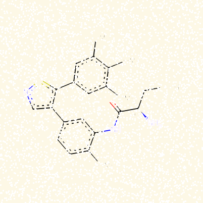 COc1ccc(-c2cnsc2-c2cc(OC)c(OC)c(OC)c2)cc1NC(=O)[C@H](N)CC(=O)O